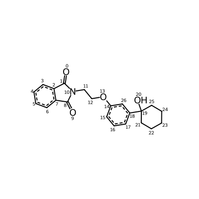 O=C1c2ccccc2C(=O)N1CCOc1cccc(C2(O)CCCCC2)c1